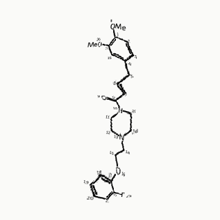 COc1ccc(CC=CC(=O)N2CCN(CCOc3ccccc3F)CC2)cc1OC